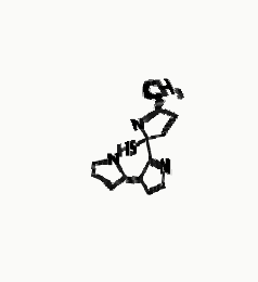 CC1=NC(S)(C2=NC=CC2=C2C=CC=N2)C=C1